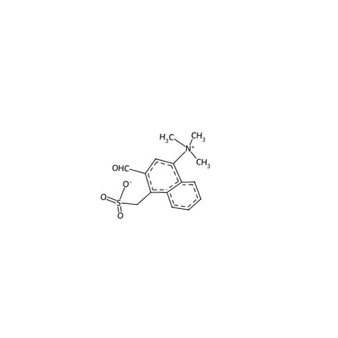 C[N+](C)(C)c1cc(C=O)c(CS(=O)(=O)[O-])c2ccccc12